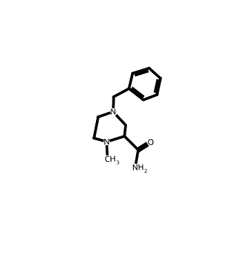 CN1CCN(Cc2ccccc2)CC1C(N)=O